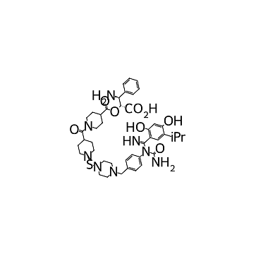 CC(C)c1cc(C(=N)N(C(N)=O)c2ccc(CN3CCN(SN4CCC(C(=O)N5CCC(C(=O)O[C@@H](C(=O)O)[C@@H](N)c6ccccc6)CC5)CC4)CC3)cc2)c(O)cc1O